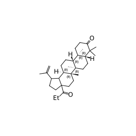 C=C(C)C1CCC2(C(=O)CC)CC[C@]3(C)[C@H](CC[C@@H]4[C@@]5(C)CCC(=O)C(C)(C)[C@@H]5CC[C@]43C)C12